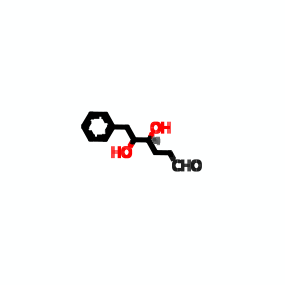 O=CCC[C@H](O)C(O)Cc1ccccc1